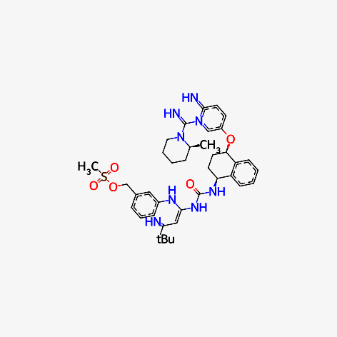 C[C@H]1CCCCN1C(=N)n1cc(O[C@@H]2CC[C@H](NC(=O)N/C(=C/C(=N)C(C)(C)C)Nc3cccc(COS(C)(=O)=O)c3)c3ccccc32)ccc1=N